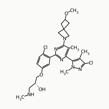 CNC[C@@H](O)COc1ccc(Cl)c(-c2nc(-c3c(C)c(Cl)nn3C)c(C)c(N3CC4(CC(OC)C4)C3)n2)c1